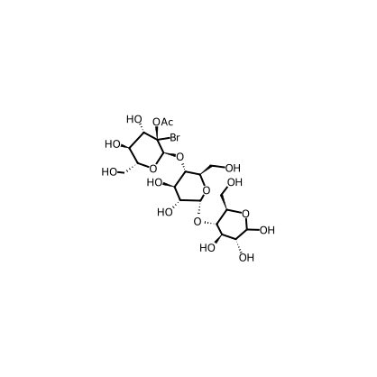 CC(=O)O[C@@]1(Br)[C@@H](O[C@H]2[C@H](O)[C@@H](O)[C@@H](O[C@H]3[C@H](O)[C@@H](O)C(O)O[C@@H]3CO)O[C@@H]2CO)O[C@H](CO)[C@@H](O)[C@@H]1O